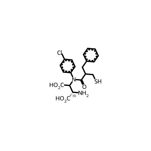 N[C@H](C(=O)O)C(C(=O)O)N(C(=O)C(CS)Cc1ccccc1)c1ccc(Cl)cc1